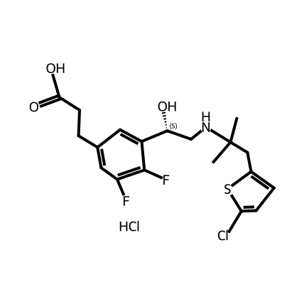 CC(C)(Cc1ccc(Cl)s1)NC[C@@H](O)c1cc(CCC(=O)O)cc(F)c1F.Cl